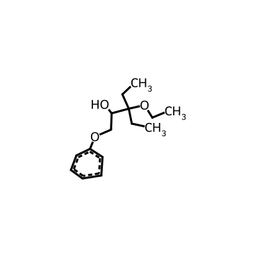 CCOC(CC)(CC)C(O)COc1ccccc1